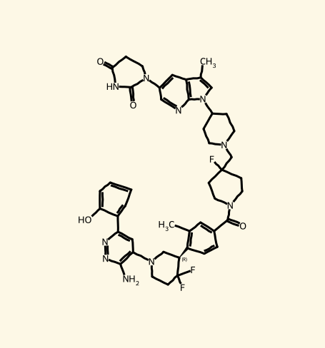 Cc1cc(C(=O)N2CCC(F)(CN3CCC(n4cc(C)c5cc(N6CCC(=O)NC6=O)cnc54)CC3)CC2)ccc1[C@@H]1CN(c2cc(-c3ccccc3O)nnc2N)CCC1(F)F